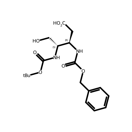 CC(C)(C)OC(=O)N[C@H](CO)[C@@H](CC(=O)O)NC(=O)OCc1ccccc1